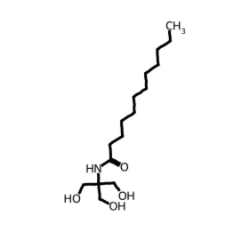 CCCCCCCCCCCC(=O)NC(CO)(CO)CO